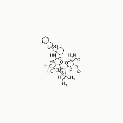 CC(C)(C)[C@H](NC(=O)NC1(CS(=O)(=O)Cc2ccccc2)CCCCC1)C(=O)N1C[C@H]2C([C@H]1C(=O)NC(CC1CC1)C(=O)C(N)=O)C2(C)C